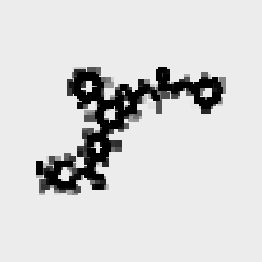 O=C(C=Cc1cccnc1)NCc1cc2cc(-c3ccc(C(=O)N4CCC(F)(F)CC4)cc3)cc(-c3cccnc3)c2o1